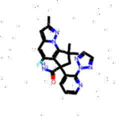 Cc1cc2cc(F)c3c(n2n1)C(C)(C)CC3(C(N)=O)c1cccnc1-n1nccn1